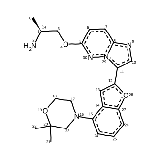 C[C@H](N)COc1ccc2ncc(-c3cc4c(N5CCOC(C)(C)C5)cccc4o3)n2n1